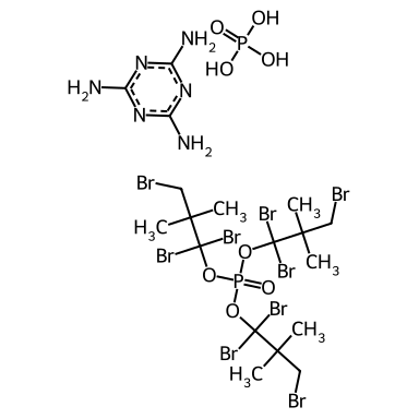 CC(C)(CBr)C(Br)(Br)OP(=O)(OC(Br)(Br)C(C)(C)CBr)OC(Br)(Br)C(C)(C)CBr.Nc1nc(N)nc(N)n1.O=P(O)(O)O